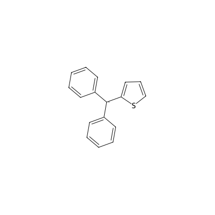 c1ccc([C](c2ccccc2)c2cccs2)cc1